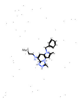 COCCNc1cc2c(cc(C)n2Cc2ccccc2)n2c(C)nnc12